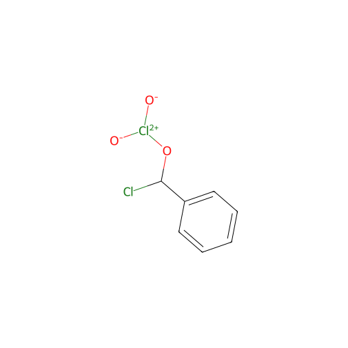 [O-][Cl+2]([O-])OC(Cl)c1ccccc1